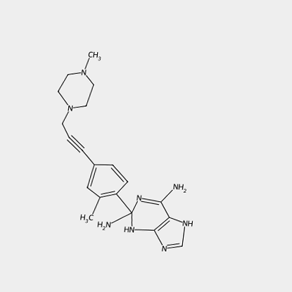 Cc1cc(C#CCN2CCN(C)CC2)ccc1C1(N)N=C(N)c2[nH]cnc2N1